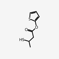 CC(S)CC(=O)Oc1cccs1